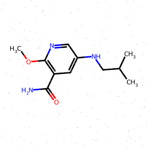 COc1ncc(NCC(C)C)cc1C(N)=O